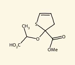 COC(=O)C1(OC(C)C(=O)O)CC=CS1